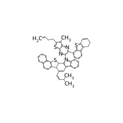 C=CCCc1sc2nc(-n3c4c(c5ccccc53)C=C(/C=C\C(C)C)C3c5ccc6ccccc6c5SC43)c(-c3cccc4c5c(sc34)C=CCC5)nc2c1C